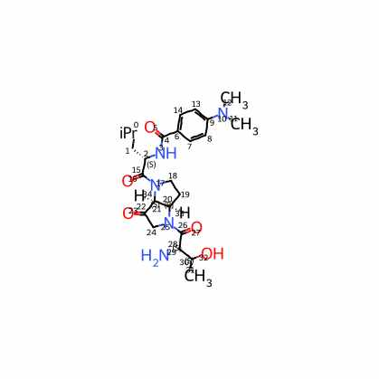 CC(C)C[C@H](NC(=O)c1ccc(N(C)C)cc1)C(=O)N1CC[C@@H]2[C@H]1C(=O)CN2C(=O)[C@@H](N)[C@H](C)O